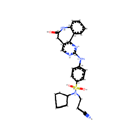 N#CCCN(C1CCCC1)S(=O)(=O)c1ccc(Nc2ncc3c(n2)-c2ccccc2NC(=O)C3)cc1